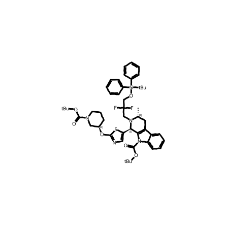 C[C@@H]1Cc2c(n(C(=O)OC(C)(C)C)c3ccccc23)[C@@H](c2cnc(O[C@@H]3CCCN(C(=O)OC(C)(C)C)C3)s2)N1CC(F)(F)CO[Si](c1ccccc1)(c1ccccc1)C(C)(C)C